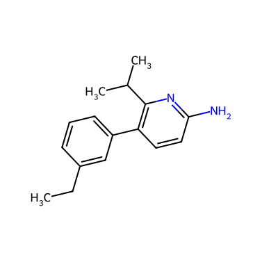 CCc1cccc(-c2ccc(N)nc2C(C)C)c1